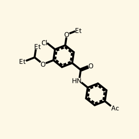 CCOc1cc(C(=O)Nc2ccc(C(C)=O)cc2)cc(OC(CC)CC)c1Cl